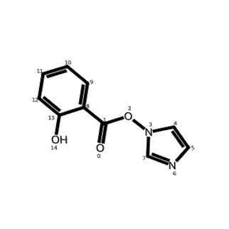 O=C(On1ccnc1)c1ccccc1O